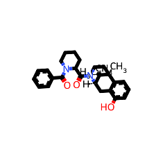 CC1(C)[C@H]2Cc3c(O)cccc3[C@]1(C)CCN2C(=O)C1CCCCN1C(=O)c1ccccc1